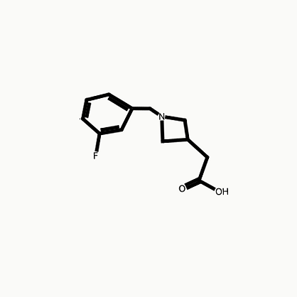 O=C(O)CC1CN(Cc2cc[c]c(F)c2)C1